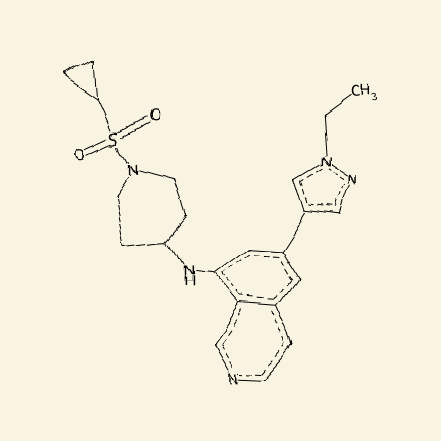 CCn1cc(-c2cc(NC3CCN(S(=O)(=O)C4CC4)CC3)c3cnccc3c2)cn1